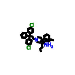 CCCCC(N)(CCCC)C1(c2ccccc2)CCN(CCC(c2ccccc2)(c2ccc(Cl)cc2)c2ccc(Cl)cc2)CC1